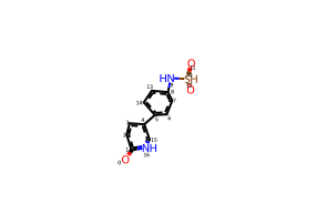 O=c1ccc(-c2ccc(N[SH](=O)=O)cc2)c[nH]1